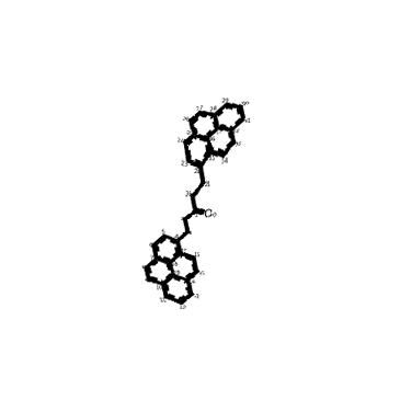 O=C(CCc1ccc2ccc3cccc4ccc1c2c34)CCc1ccc2ccc3cccc4ccc1c2c34